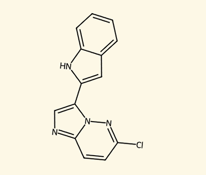 Clc1ccc2ncc(-c3cc4ccccc4[nH]3)n2n1